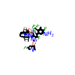 Cc1c(F)c(N)cc(-c2nc3c4c(nc(OC[C@]56CCN5C[C@H](F)C6)nc4c2F)N2C[C@H]4CC[C@H](N4)[C@H]2[C@H](C)O3)c1C(F)(F)F